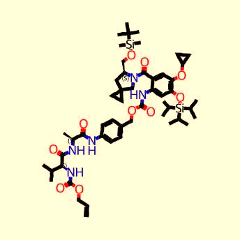 C=CCOC(=O)N[C@H](C(=O)N[C@@H](C)C(=O)Nc1ccc(COC(=O)Nc2cc(O[Si](C(C)C)(C(C)C)C(C)C)c(OC3CC3)cc2C(=O)N2CC3(CC3)C[C@H]2CO[Si](C)(C)C(C)(C)C)cc1)C(C)C